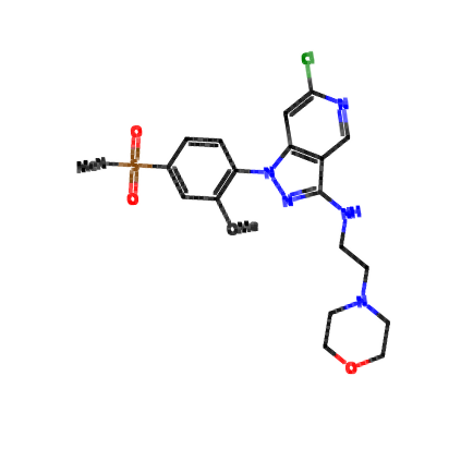 CNS(=O)(=O)c1ccc(-n2nc(NCCN3CCOCC3)c3cnc(Cl)cc32)c(OC)c1